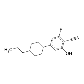 CCCC1CCC(c2cc(O)c(C#N)c(F)c2)CC1